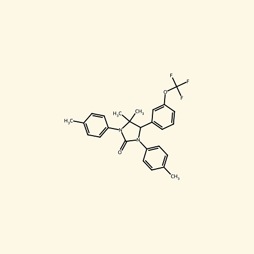 Cc1ccc(N2C(=O)N(c3ccc(C)cc3)C(C)(C)C2c2cccc(OC(F)(F)F)c2)cc1